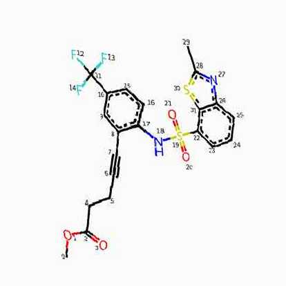 COC(=O)CCC#Cc1cc(C(F)(F)F)ccc1NS(=O)(=O)c1cccc2nc(C)sc12